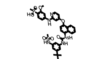 COc1cc(Nc2cc(Oc3ccc([AsH]C(=O)Nc4cc(NS(C)(=O)=O)cc(C(C)(C)C)c4)c4ccccc34)ccn2)ccc1P(C)(=O)O